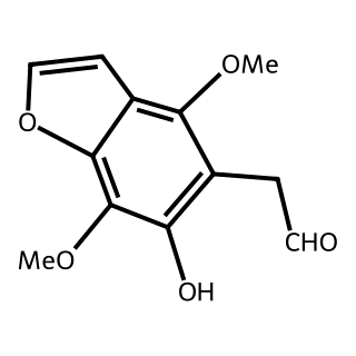 COc1c(CC=O)c(O)c(OC)c2occc12